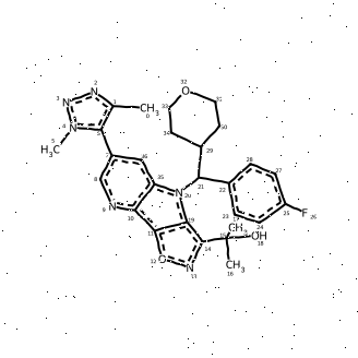 Cc1nnn(C)c1-c1cnc2c3onc(C(C)(C)O)c3n(C(c3ccc(F)cc3)C3CCOCC3)c2c1